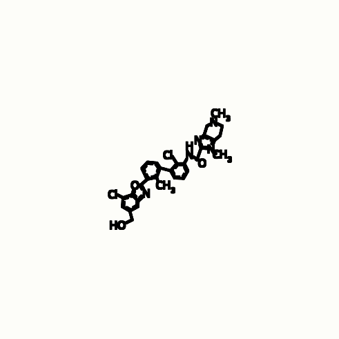 Cc1c(-c2nc3cc(CO)cc(Cl)c3o2)cccc1-c1cccc(NC(=O)c2nc3c(n2C)CCN(C)C3)c1Cl